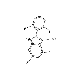 O=Cc1c(-c2c(F)cccc2F)[nH]c2cc(F)cc(F)c12